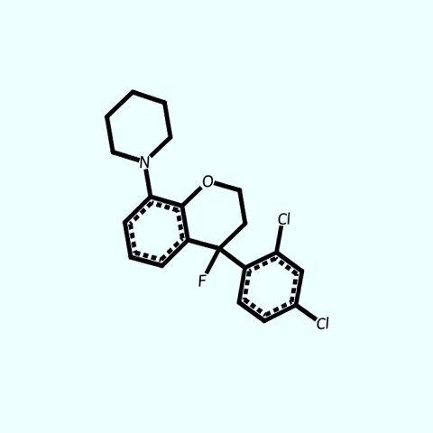 FC1(c2ccc(Cl)cc2Cl)CCOc2c(N3CCCCC3)cccc21